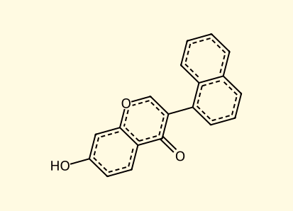 O=c1c(-c2cccc3ccccc23)coc2cc(O)ccc12